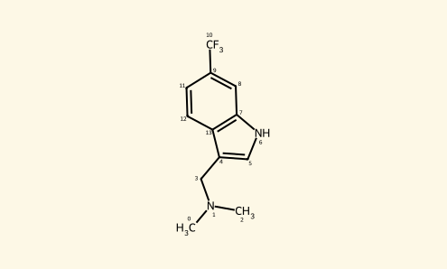 CN(C)Cc1c[nH]c2cc(C(F)(F)F)ccc12